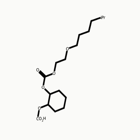 CC(C)CCCCOCCOC(=O)OC1CCCCC1OC(=O)O